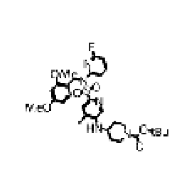 COc1ccc(CN(c2cccc(F)n2)S(=O)(=O)c2cc(C)c(NC3CCN(C(=O)OC(C)(C)C)CC3)cn2)c(OC)c1